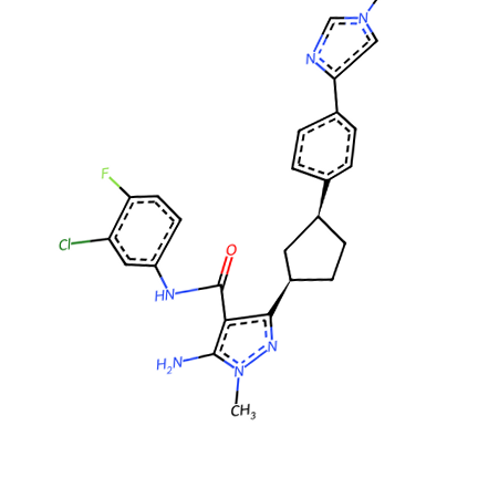 Cn1cnc(-c2ccc([C@H]3CC[C@@H](c4nn(C)c(N)c4C(=O)Nc4ccc(F)c(Cl)c4)C3)cc2)c1